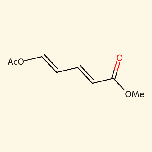 COC(=O)/C=C/C=C/OC(C)=O